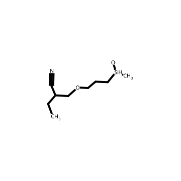 CCC(C#N)COCCC[SiH](C)[O]